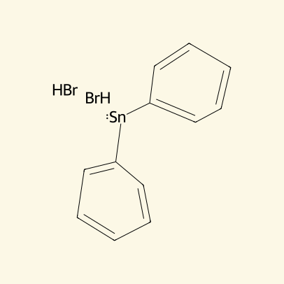 Br.Br.c1cc[c]([Sn][c]2ccccc2)cc1